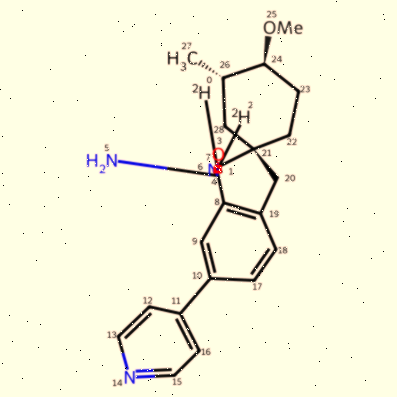 [2H]C1([2H])OC(N)=N[C@]12c1cc(-c3ccncc3)ccc1C[C@@]21CC[C@H](OC)[C@@H](C)C1